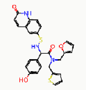 O=C([C@H](NSc1ccc2[nH]c(=O)ccc2c1)c1ccc(O)cc1)N(Cc1ccco1)Cc1cccs1